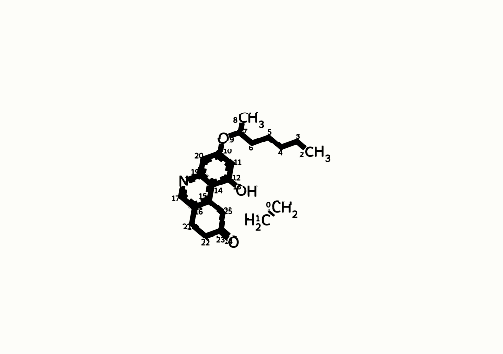 C=C.CCCCCC(C)Oc1cc(O)c2c3c(cnc2c1)CCC(=O)C3